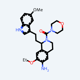 CCOc1cc2c(cc1N)CCN(C(=O)N1CCOCC1)C2CCc1c[nH]c2ccc(OC)cc12